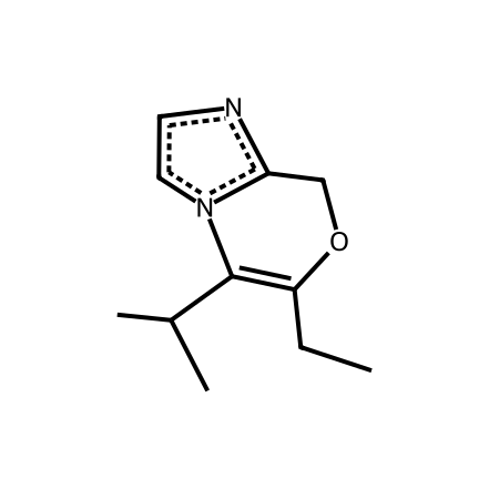 CCC1=C(C(C)C)n2ccnc2CO1